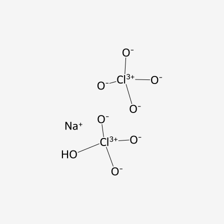 [Na+].[O-][Cl+3]([O-])([O-])O.[O-][Cl+3]([O-])([O-])[O-]